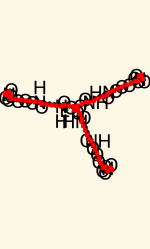 CCC(COCCC(=O)NCCCCCCCC(=O)NCCOCCOCCOCCC(=O)ON1C(=O)CCC1=O)(COCCC(=O)NCCCCCCCC(=O)NCCOCCOCCOCCC(=O)ON1C(=O)CCC1=O)COCCC(=O)NCCCCCCCC(=O)NCCOCCOCCOCCC(=O)ON1C(=O)CCC1=O